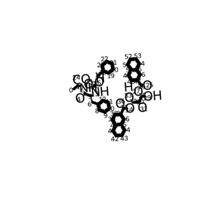 C[C@H](NC(=O)[C@H](Cc1ccccc1)NC(=O)OCc1ccccc1)C(=O)O.O=C(OC(O)C(=O)C(O)OC(=O)c1ccc2ccccc2c1)c1ccc2ccccc2c1